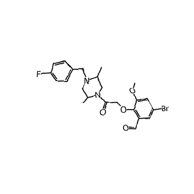 COc1cc(Br)cc(C=O)c1OCC(=O)N1CC(C)N(Cc2ccc(F)cc2)CC1C